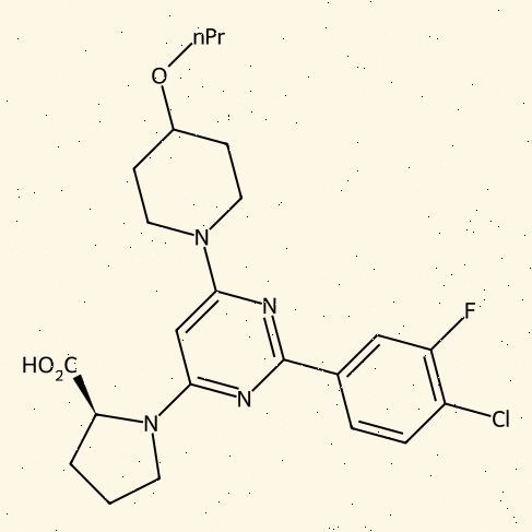 CCCOC1CCN(c2cc(N3CCC[C@H]3C(=O)O)nc(-c3ccc(Cl)c(F)c3)n2)CC1